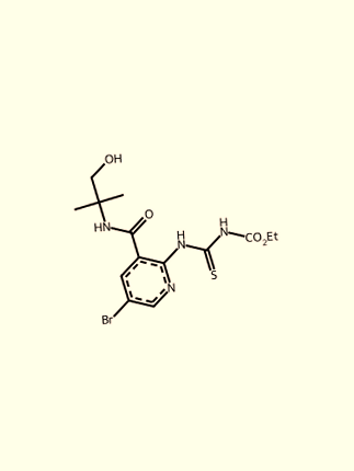 CCOC(=O)NC(=S)Nc1ncc(Br)cc1C(=O)NC(C)(C)CO